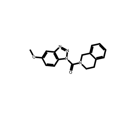 COc1ccc2c(c1)nnn2C(=O)N1CCc2ccccc2C1